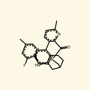 Cc1cnc(NC2CC3CCC2N(C(=O)c2nc(C)ccc2-c2ncccn2)C3)c(F)c1